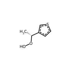 C[C@@H](OO)c1ccsc1